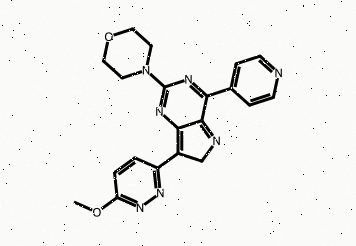 COc1ccc(C2=c3nc(N4CCOCC4)nc(-c4ccncc4)c3=NC2)nn1